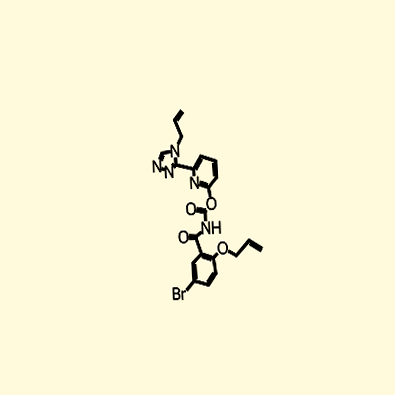 C=CCOc1ccc(Br)cc1C(=O)NC(=O)Oc1cccc(-c2nncn2CC=C)n1